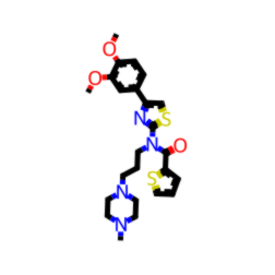 COc1ccc(-c2csc(N(CCCN3CCN(C)CC3)C(=O)c3cccs3)n2)cc1OC